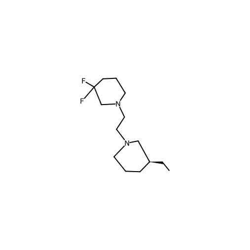 CC[C@H]1CCCN(CCN2CCCC(F)(F)C2)C1